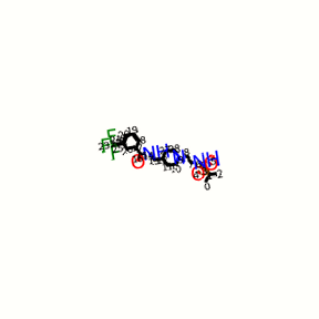 CC(C)S(=O)(=O)NCCN1CCC(CNC(=O)c2cccc(C(F)(F)F)c2)CC1